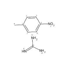 Cc1ccc([N+](=O)[O-])cc1.N=C(N)N